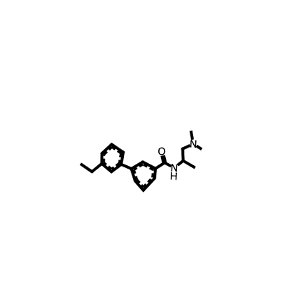 CCc1cccc(-c2cccc(C(=O)NC(C)CN(C)C)c2)c1